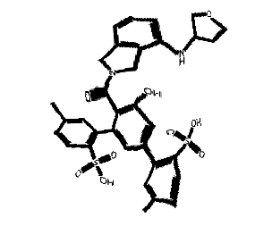 Cc1ccc(S(=O)(=O)O)c(-c2cc(O)c(C(=O)N3Cc4cccc(NC5CCOC5)c4C3)c(-c3cc(C)ccc3S(=O)(=O)O)c2)c1